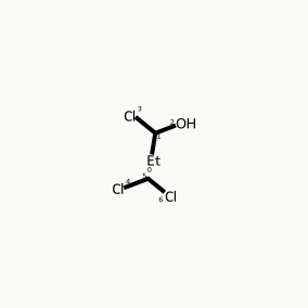 CCC(O)Cl.ClCCl